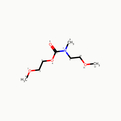 COCCOC(=O)N(C)CCOC